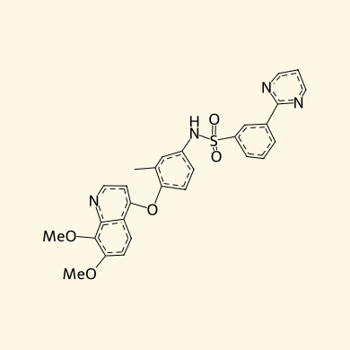 COc1ccc2c(Oc3ccc(NS(=O)(=O)c4cccc(-c5ncccn5)c4)cc3C)ccnc2c1OC